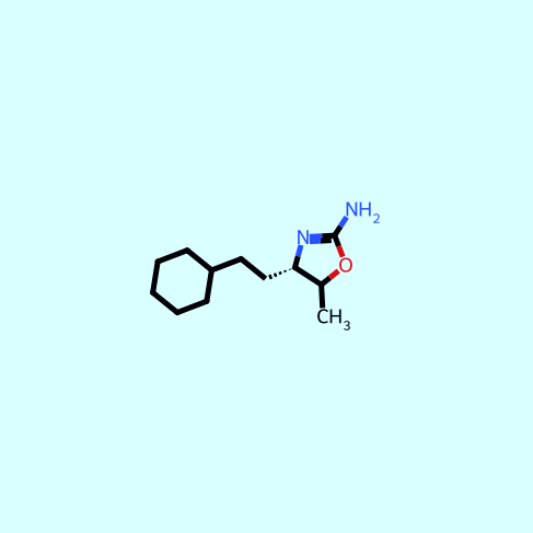 CC1OC(N)=N[C@H]1CCC1CCCCC1